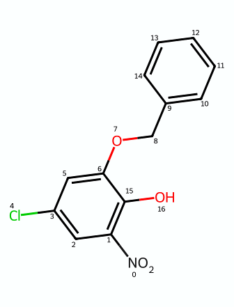 O=[N+]([O-])c1cc(Cl)cc(OCc2ccccc2)c1O